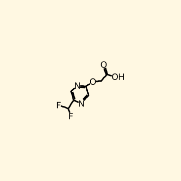 O=C(O)COc1cnc(C(F)F)cn1